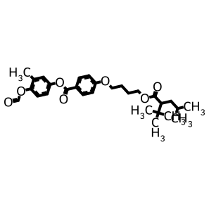 Cc1cc(OC(=O)c2ccc(OCCCCOC(=O)C(CC(C)C)C(C)(C)C)cc2)ccc1OC=O